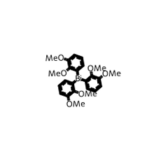 COc1ccc[c]([Bi]([c]2cccc(OC)c2OC)[c]2cccc(OC)c2OC)c1OC